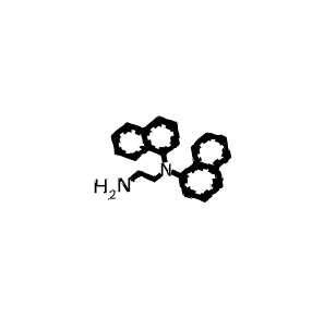 NCCN(c1cccc2ccccc12)c1cccc2ccccc12